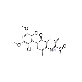 C=N/C(=N\C1=C(C)CN(c2c(Cl)c(OC)cc(OC)c2Cl)C(=O)N1C)[S+](C)[O-]